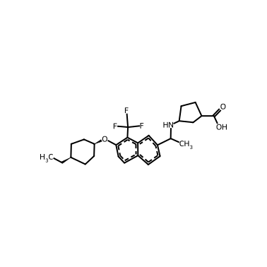 CC[C@H]1CC[C@@H](Oc2ccc3ccc(C(C)NC4CCC(C(=O)O)C4)cc3c2C(F)(F)F)CC1